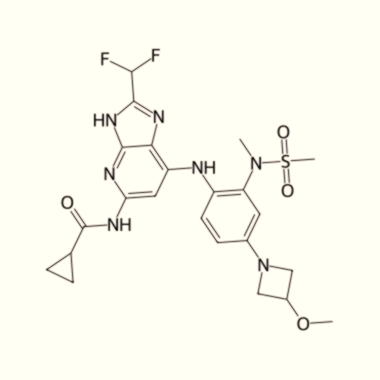 COC1CN(c2ccc(Nc3cc(NC(=O)C4CC4)nc4[nH]c(C(F)F)nc34)c(N(C)S(C)(=O)=O)c2)C1